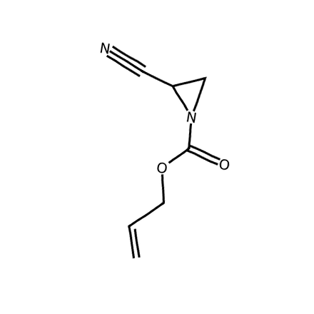 C=CCOC(=O)N1CC1C#N